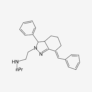 CCCNCCN1N=C2C(=Cc3ccccc3)CCCC2C1c1ccccc1